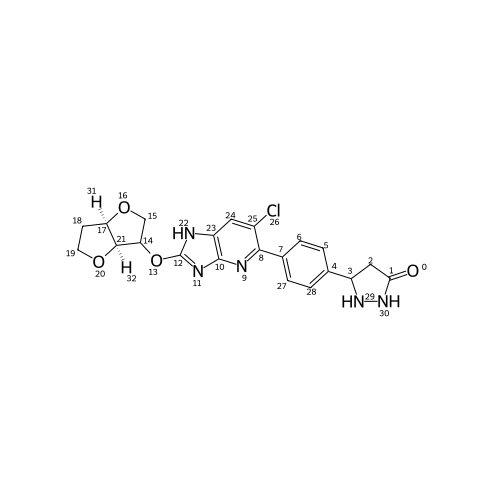 O=C1CC(c2ccc(-c3nc4nc(OC5CO[C@@H]6CCO[C@H]56)[nH]c4cc3Cl)cc2)NN1